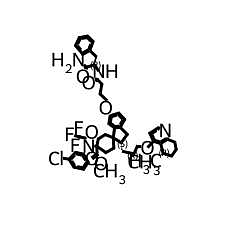 COC(=O)C1(N(C(=O)C(F)(F)F)c2cccc(Cl)c2)CCC2(CC1)c1cc(OCCCC(=O)N[C@H](Cc3ccccc3)C(N)=O)ccc1C[C@@H]2C[C@@H](C)COc1ccnc2c1[C@H](C)CCC2